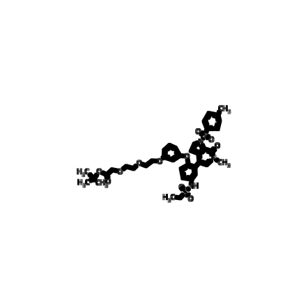 CCS(=O)(=O)Nc1ccc(Oc2cccc(OCCOCCOCC(=O)OC(C)(C)C)c2)c(-c2cn(C)c(=O)c3c2ccn3S(=O)(=O)c2ccc(C)cc2)c1